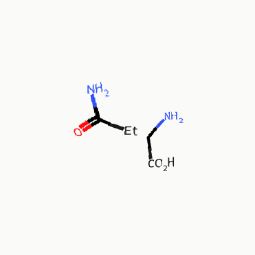 CCC(N)=O.NCC(=O)O